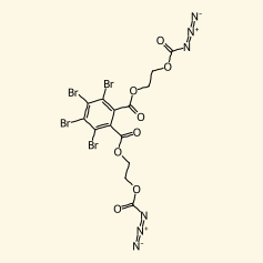 [N-]=[N+]=NC(=O)OCCOC(=O)c1c(Br)c(Br)c(Br)c(Br)c1C(=O)OCCOC(=O)N=[N+]=[N-]